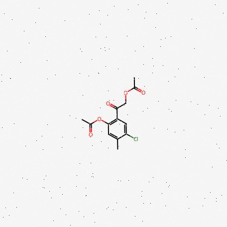 CC(=O)OCC(=O)c1cc(Cl)c(C)cc1OC(C)=O